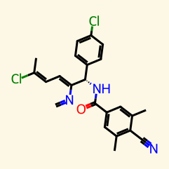 C=N/C(=C\C=C(/C)Cl)[C@@H](NC(=O)c1cc(C)c(C#N)c(C)c1)c1ccc(Cl)cc1